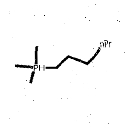 CCCCCC[PH](C)(C)C